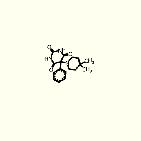 CC1(C)CCN(C2(c3ccccc3)C(=O)NC(=O)NC2=O)CC1